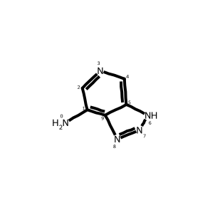 Nc1cncc2[nH]nnc12